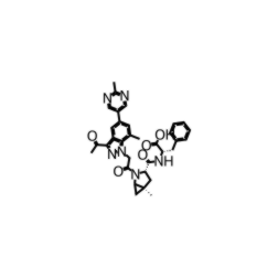 CC(=O)c1nn(CC(=O)N2C3C[C@]3(C)C[C@H]2C(=O)N[C@@H](Cc2ccccc2)C(=O)O)c2c(C)cc(-c3cnc(C)nc3)cc12